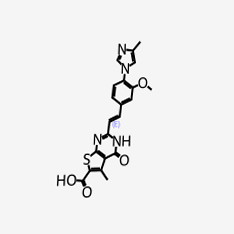 COc1cc(/C=C/c2nc3sc(C(=O)O)c(C)c3c(=O)[nH]2)ccc1-n1cnc(C)c1